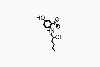 CCCCC(O)CNc1ccc(O)cc1[N+](=O)[O-]